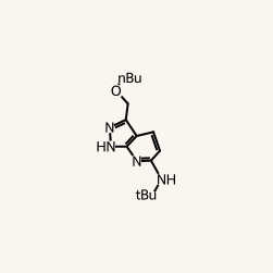 CCCCOCc1n[nH]c2nc(NC(C)(C)C)ccc12